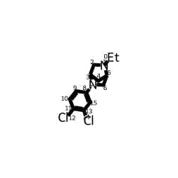 CCN1CC2CC1CN2c1ccc(Cl)c(Cl)c1